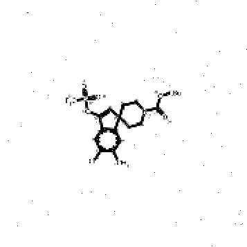 Cc1cc2c(cc1Cl)C(OS(=O)(=O)C(F)(F)F)=CC21CCN(C(=O)OC(C)(C)C)CC1